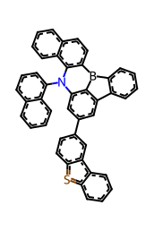 c1ccc2c(c1)B1c3ccc4ccccc4c3N(c3cccc4ccccc34)c3cc(-c4ccc5sc6ccccc6c5c4)cc-2c31